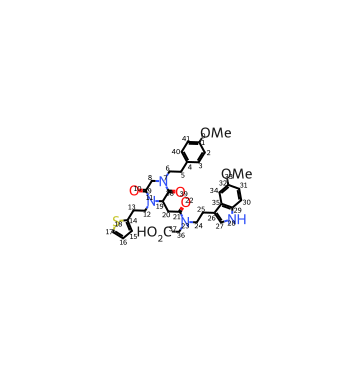 COc1ccc(CCN2CC(=O)N(CCc3cccs3)C(CC(=O)N(CCc3c[nH]c4ccc(OC)cc34)CC(=O)O)C2=O)cc1